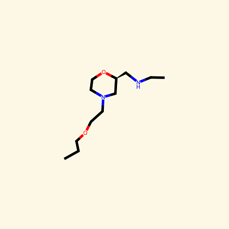 CCCOCCN1CCO[C@@H](CNCC)C1